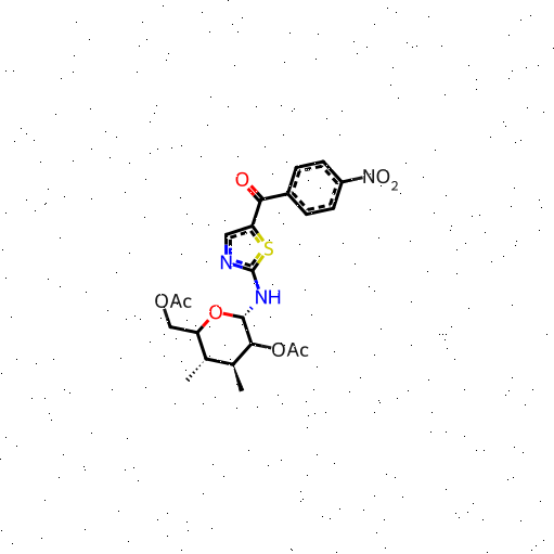 CC(=O)OCC1O[C@H](Nc2ncc(C(=O)c3ccc([N+](=O)[O-])cc3)s2)C(OC(C)=O)[C@@H](C)[C@@H]1C